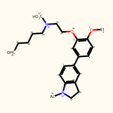 CCOc1ccc(-c2ccc3c(c2)CCN3C(C)=O)cc1OCCN(CCCCC=O)C(=O)O